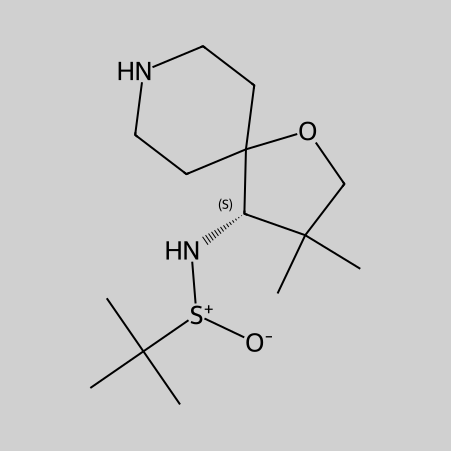 CC1(C)COC2(CCNCC2)[C@H]1N[S+]([O-])C(C)(C)C